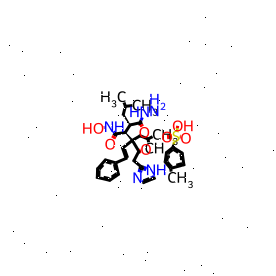 CC(C)C[C@@H](C(=O)NN)[C@H](C(=O)NO)C(/C=C/c1ccccc1)(CC(C)C)C(=O)Cc1ncc[nH]1.Cc1ccc(S(=O)(=O)O)cc1